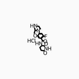 Cl.O=C1CC[C@H](NC(=O)c2cc3c(cc2F)N2CCNCC2CO3)C(=O)N1